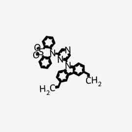 C=Cc1ccc2c(c1)c1cc(C=C)ccc1n2-c1cncc(N2c3ccccc3S(=O)(=O)c3ccccc32)n1